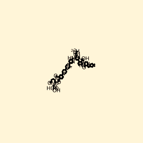 [2H]C([2H])([2H])Oc1ncc(-c2ccnc(N3CCn4c(cc5c4CC(C)(C)C5)C3=O)c2C(C)(C)O)cc1Nc1ccc(N2CCN(C3CCN(c4ccc5c(c4)C(=O)N(C4CCC(=O)N(COP(=O)(O)O)C4=O)C5=O)CC3)C[C@@H]2C)cn1